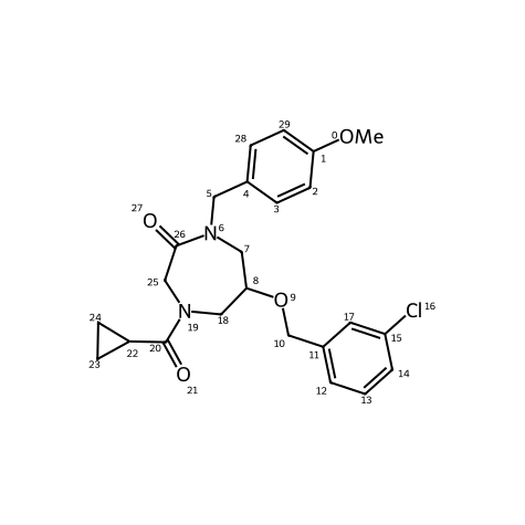 COc1ccc(CN2CC(OCc3cccc(Cl)c3)CN(C(=O)C3CC3)CC2=O)cc1